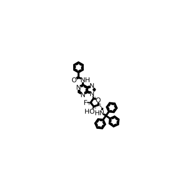 O=C(Nc1ncnc2c1ncn2[C@H]1O[C@H](CNC(c2ccccc2)(c2ccccc2)c2ccccc2)[C@@H](O)[C@H]1F)c1ccccc1